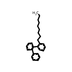 CCCCCCCCCc1ccccc1-c1ccccc1-c1ccccc1